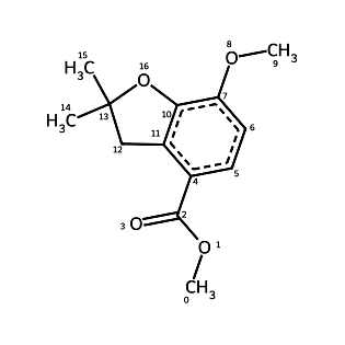 COC(=O)c1ccc(OC)c2c1CC(C)(C)O2